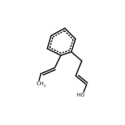 CC=Cc1ccccc1CC=CO